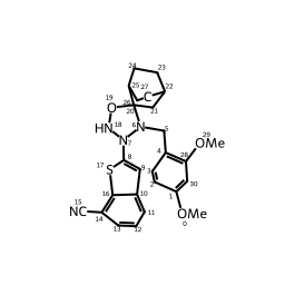 COc1ccc(CN2N(c3cc4cccc(C#N)c4s3)NOC23CC2CCC3CC2)c(OC)c1